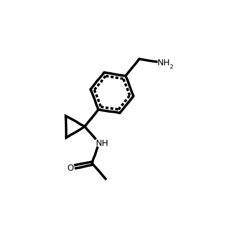 CC(=O)NC1(c2ccc(CN)cc2)CC1